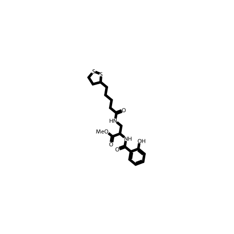 COC(=O)C(CNC(=O)CCCCC1CCSS1)NC(=O)c1ccccc1O